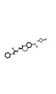 N#CC(NC1CC(C(=O)O)C1)c1ccc2c(c1)CCc1c-2noc1-c1onc(-c2ccccc2)c1C(F)(F)F